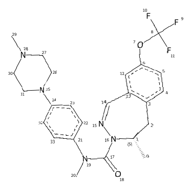 C[C@H]1Cc2ccc(OC(F)(F)F)cc2C=NN1C(=O)N(C)c1ccc(N2CCN(C)CC2)cc1